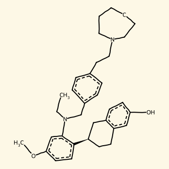 CCN(Cc1ccc(CCN2CCCCCC2)cc1)c1cc(OC)ccc1[C@@H]1CCc2cc(O)ccc2C1